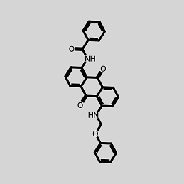 O=C(Nc1cccc2c1C(=O)c1cccc(NCOc3ccccc3)c1C2=O)c1ccccc1